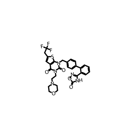 O=c1[nH]c(-c2ccccc2-c2ccc(Cn3c(=O)n(CCN4CCOCC4)c(=O)c4cc(CC(F)(F)F)sc43)cc2)no1